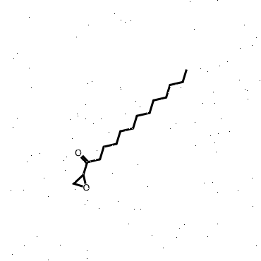 CCCCCCCCCCCCC(=O)C1CO1